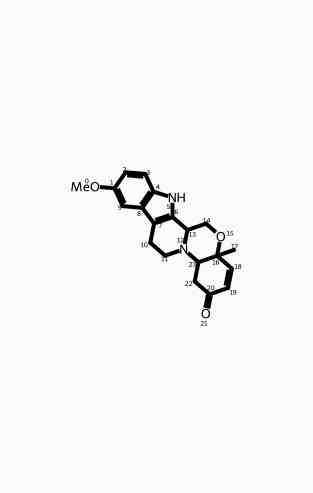 COc1ccc2[nH]c3c(c2c1)CCN1C3COC2(C)C=CC(=O)CC12